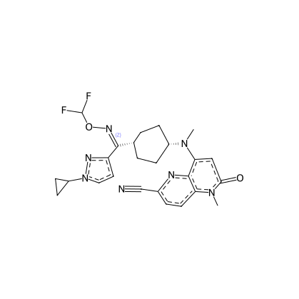 Cn1c(=O)cc(N(C)[C@H]2CC[C@@H](/C(=N/OC(F)F)c3ccn(C4CC4)n3)CC2)c2nc(C#N)ccc21